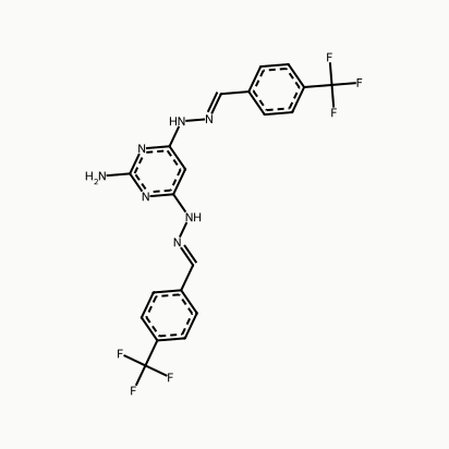 Nc1nc(N/N=C/c2ccc(C(F)(F)F)cc2)cc(N/N=C/c2ccc(C(F)(F)F)cc2)n1